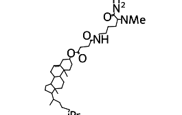 CNC(CCCCNC(=O)CCC(=O)OC1CCC2(C)C(=CCC3C2CCC2(C)C(C(C)CCCC(C)C)CCC32)C1)C(N)=O